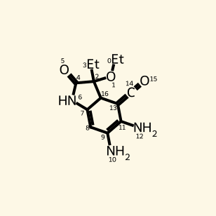 CCOC1(CC)C(=O)NC2=CC(N)=C(N)C(=C=O)C21